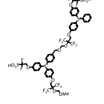 COCOC(COc1ccc([S+](c2ccc(COCOC(COc3ccc([S+](c4ccccc4)c4ccc(OC(C(F)(F)F)C(F)(F)S(=O)(=O)O)cc4)cc3)(C(F)(F)F)C(F)(F)F)cc2)c2ccc(OCC(F)(F)S(=O)(=O)O)cc2)cc1)(C(F)(F)F)C(F)(F)F